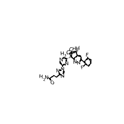 CC1(C)[C@H]2CC[C@]1(c1cncc(-n3cnc(CCC(N)=O)n3)n1)c1nnc(-c3c(F)cccc3F)cc12